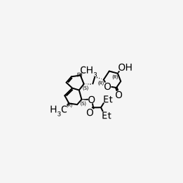 CCC(CC)C(=O)O[C@H]1C[C@@H](C)C=C2C=C[C@H](C)[C@H](CC[C@@H]3C[C@@H](O)CC(=O)O3)C21